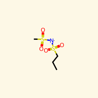 CCCS(=O)(=O)[N]S(C)(=O)=O